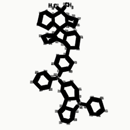 CC1(C)c2ccccc2C2(c3ccccc3-c3c(-c4ccc(N(c5ccccc5)c5ccc6c(c5)c5ccccc5n6-c5ccccc5)cc4)cccc32)c2ccccc21